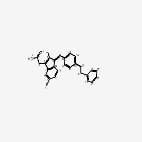 CC1=C(CC(=O)O)c2cc(F)ccc2/C1=C\c1ccc(CCc2ccccc2)cc1